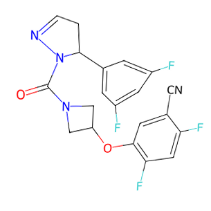 N#Cc1cc(OC2CN(C(=O)N3N=CCC3c3cc(F)cc(F)c3)C2)c(F)cc1F